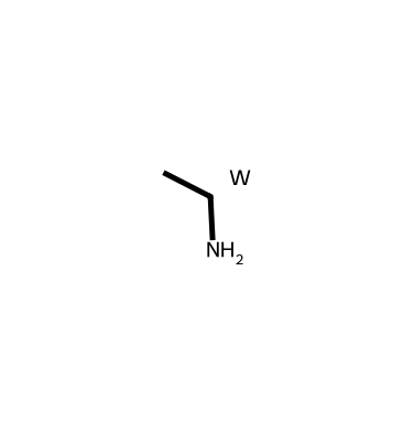 CCN.[W]